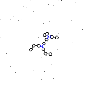 c1ccc(-c2ccc(N(c3ccc(-c4ccc(N(c5ccc(-c6cccc(-c7ccccc7)c6)cc5)c5ccc(-c6cccc(-c7ccccc7)c6)cc5)cc4)cc3)c3cccc4ccccc34)cc2)cc1